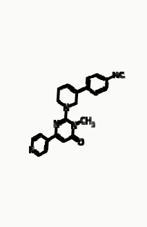 [C-]#[N+]c1ccc(C2=CCCN(c3nc(-c4ccncc4)cc(=O)n3C)C2)cc1